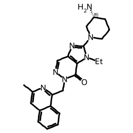 CCn1c(N2CCC[C@@H](N)C2)nc2cnn(Cc3nc(C)cc4ccccc34)c(=O)c21